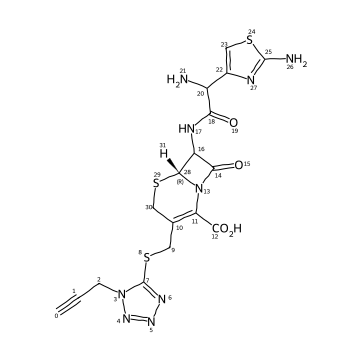 C#CCn1nnnc1SCC1=C(C(=O)O)N2C(=O)C(NC(=O)C(N)c3csc(N)n3)[C@H]2SC1